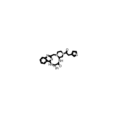 CC(C)[C@@H]1Nc2nc(nc3ccccc23)CN2CCN(C(=O)Cc3ccsc3)CC2NC1=O